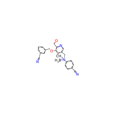 BN(Cc1cnc(C=O)c(OCc2cccc(C#N)c2)c1C)c1ccc(C#N)cc1